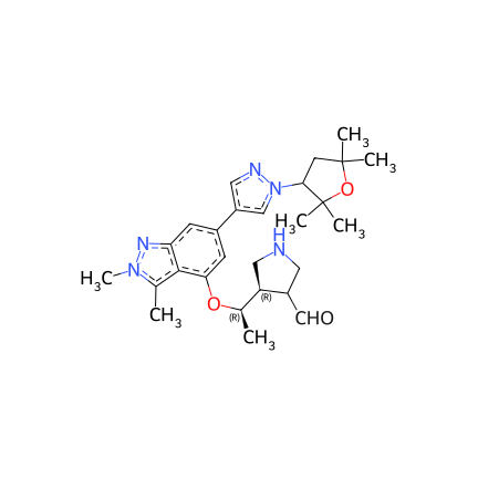 Cc1c2c(O[C@H](C)[C@H]3CNCC3C=O)cc(-c3cnn(C4CC(C)(C)OC4(C)C)c3)cc2nn1C